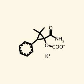 CC1(C)C(c2ccccc2)C1(OC(=O)[O-])C(N)=O.[K+]